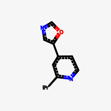 CC(C)c1cc(-c2cnco2)ccn1